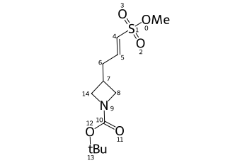 COS(=O)(=O)/C=C/CC1CN(C(=O)OC(C)(C)C)C1